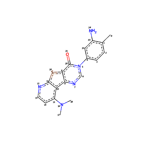 Cc1ccc(-n2cnc3c(sc4nccc(N(C)C)c43)c2=O)cc1N